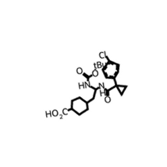 CC(C)(C)OC(=O)NC(CC1CCC(C(=O)O)CC1)NC(=O)C1(c2ccc(Cl)cc2)CC1